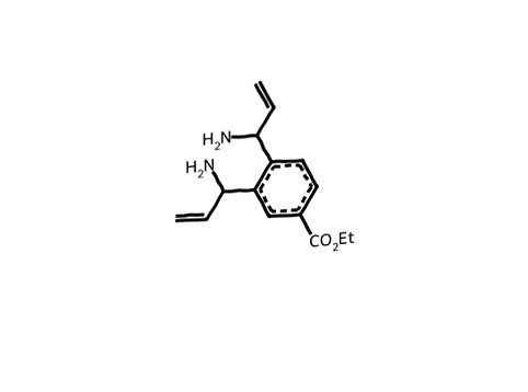 C=CC(N)c1ccc(C(=O)OCC)cc1C(N)C=C